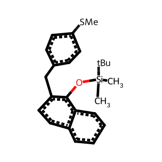 CSc1ccc(Cc2ccc3ccccc3c2O[Si](C)(C)C(C)(C)C)cc1